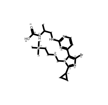 CC(CNc1nccc(-c2c(Br)nc(C3CC3)n2COCC[Si](C)(C)C)n1)NC(=O)O